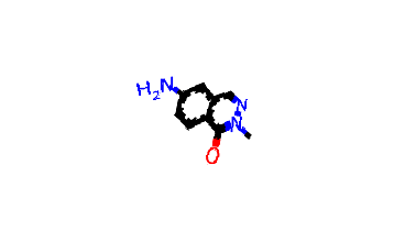 Cn1ncc2cc(N)ccc2c1=O